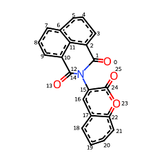 O=C1c2cccc3cccc(c23)C(=O)N1c1cc2ccccc2oc1=O